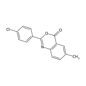 Cc1ccc2nc(-c3ccc(Cl)cc3)oc(=O)c2c1